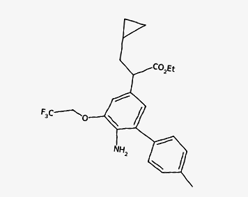 CCOC(=O)C(CC1CC1)c1cc(OCC(F)(F)F)c(N)c(-c2ccc(C)cc2)c1